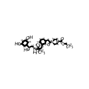 CCOC(=O)N1CCN(C(=O)Cc2cccc(CC(C)(C)NCC(O)c3cc(O)cc(O)c3)c2)CC1